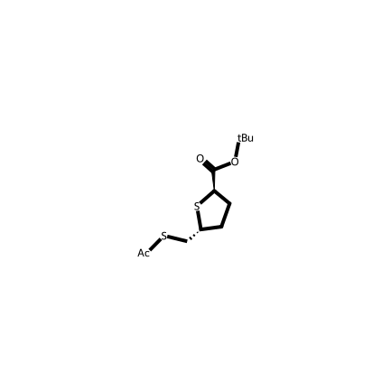 CC(=O)SC[C@H]1CC[C@H](C(=O)OC(C)(C)C)S1